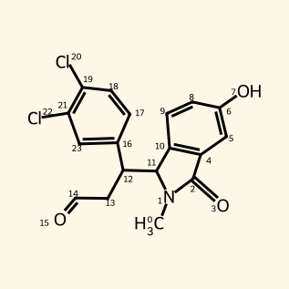 CN1C(=O)c2cc(O)ccc2C1C(CC=O)c1ccc(Cl)c(Cl)c1